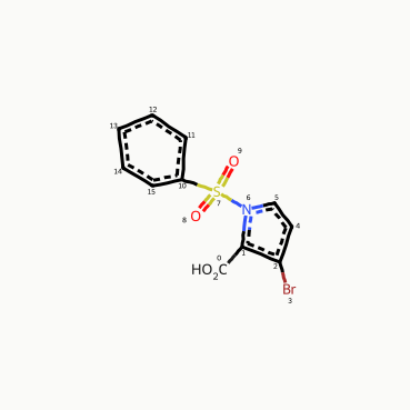 O=C(O)c1c(Br)ccn1S(=O)(=O)c1ccccc1